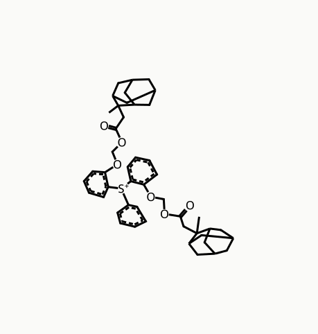 CC1(CC(=O)OCOc2ccccc2[S+](c2ccccc2)c2ccccc2OCOC(=O)CC2(C)C3CC4CC(C3)CC2C4)C2CC3CC(C2)CC1C3